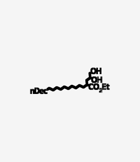 CCCCCCCCCCCCCCCCCCCCC(CC(O)CO)C(=O)OCC